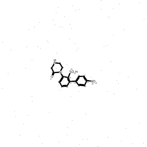 O=C1CNCCN1c1cccc(-c2ccc([N+](=O)[O-])cc2)c1S(=O)(=O)O